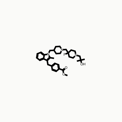 COC(=O)c1ccc(Cc2c(C)n(CC3CCN(CC4(F)CCN(CC(C)(C)O)CC4)CC3)c3ccccc23)cc1